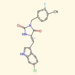 N#Cc1ccc(CN2C(=O)N/C(=C\c3c[nH]c4cc(Cl)ccc34)C2=O)cc1F